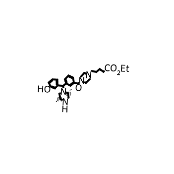 CCOC(=O)CCCCN1CCN(C(=O)c2cccc(C(c3cccc(O)c3)N3C[C@@H](C)NC[C@H]3C)c2)CC1